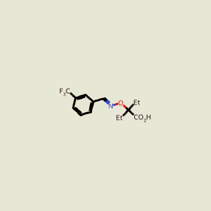 CCC(CC)(O/N=C/c1cccc(C(F)(F)F)c1)C(=O)O